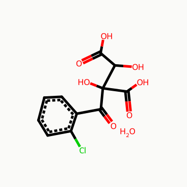 O.O=C(O)C(O)C(O)(C(=O)O)C(=O)c1ccccc1Cl